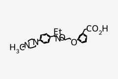 CC/C(=N\OCCOc1cccc(CC(=O)O)c1)c1ccc(N2CCN(C)CC2)cc1